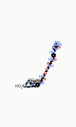 Nc1nc2ncc(CNc3ccc(C(=O)NCCCC(=O)NCCOCCOCCNC(=O)CCC(=O)Nc4ccc(CC(CN5CCN(CC(=O)O)CCN(CC(=O)O)CC5)N(CC=O)CC(=O)O)cc4)cc3)nc2c(=O)[nH]1